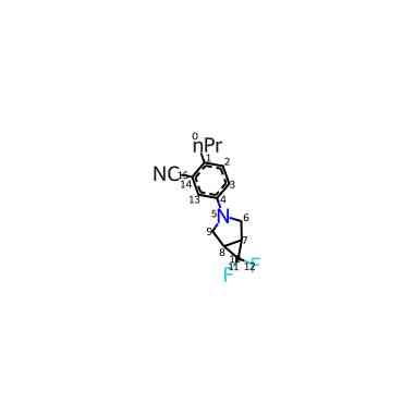 C[CH]Cc1ccc(N2CC3C(C2)C3(F)F)cc1C#N